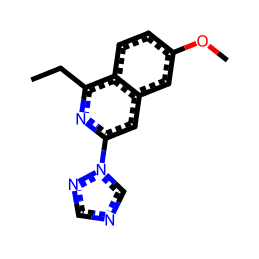 CCc1nc(-n2cncn2)cc2cc(OC)ccc12